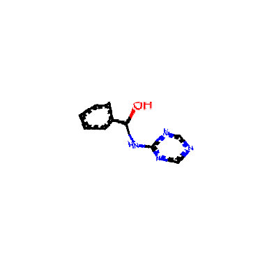 OC(Nc1ncncn1)c1ccccc1